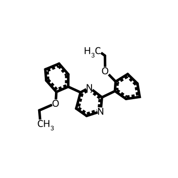 CCOc1ccccc1-c1ccnc(-c2ccccc2OCC)n1